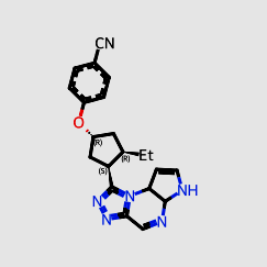 CC[C@@H]1C[C@@H](Oc2ccc(C#N)cc2)C[C@@H]1c1nnc2n1C1C=CNC1N=C2